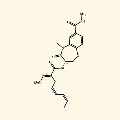 C/C=C\C=C/C/C(=N\NC)C(=O)N[C@H]1COc2ccc(C(=O)NN)cc2N(C)C1=O